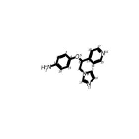 Nc1ccc(OC(Cn2ccnc2)c2ccncc2)cc1